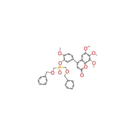 COc1ccc(-c2cc(=O)oc3c(OC)c(OC)c(OC)cc23)cc1OP(=O)(COCc1ccccc1)COCc1ccccc1